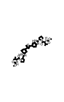 COC(=O)N[C@H](C(=O)N1CCCC1c1nc2cc(-c3csc(-c4ccc5nc([C@@H]6CCCN6C(=O)[C@@H](NC(=O)OC)C(C)C)[nH]c5c4)c3)ccc2[nH]1)C(C)C